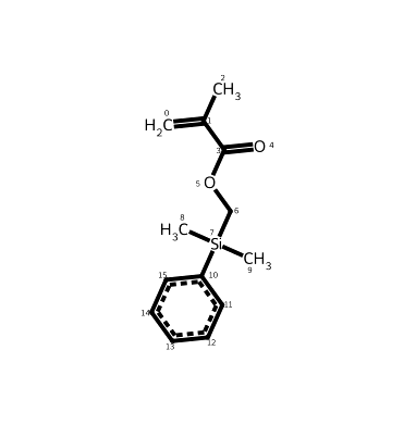 C=C(C)C(=O)OC[Si](C)(C)c1ccccc1